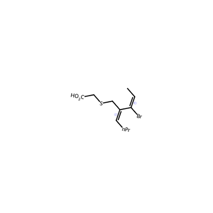 C/C=C(Br)\C(=C/CCC)CSCC(=O)O